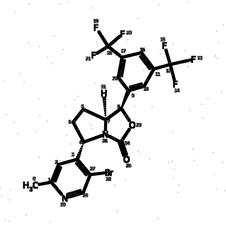 Cc1cc([C@@H]2CC[C@H]3[C@@H](c4cc(C(F)(F)F)cc(C(F)(F)F)c4)OC(=O)N23)c(Br)cn1